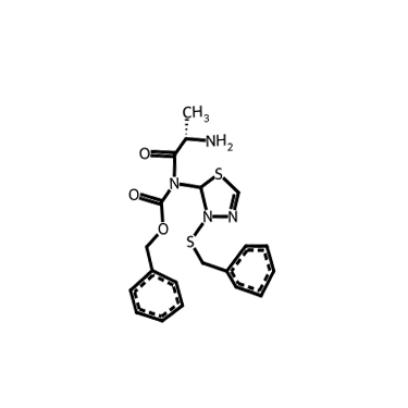 C[C@H](N)C(=O)N(C(=O)OCc1ccccc1)C1SC=NN1SCc1ccccc1